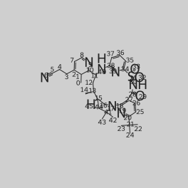 CC1C(CCC#N)=CC=NC1C1C[C@H](C)[C@@H]2CN(c3nc(C(C)(C)C)ccc3C(=O)NS(=O)(=O)c3cccc(n3)N1)C(C)(C)C2